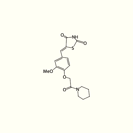 COc1cc(/C=C2\SC(=O)NC2=O)ccc1OCC(=O)N1CCCCC1